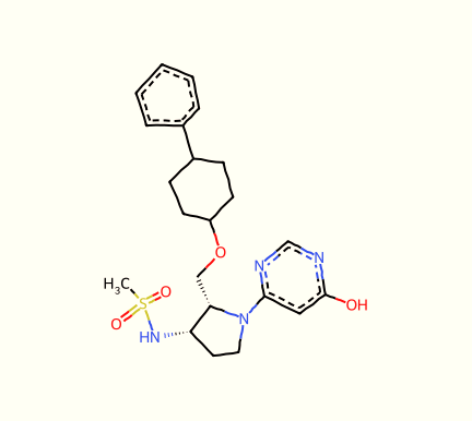 CS(=O)(=O)N[C@H]1CCN(c2cc(O)ncn2)[C@H]1COC1CCC(c2ccccc2)CC1